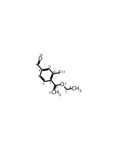 C=C(OCC)c1ccc(C=O)cc1F